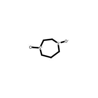 [O-][S+]1C[CH]C[S+]([O-])CC1